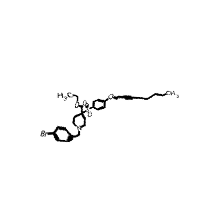 CCCCCC#CCOc1ccc(S(=O)(=O)C2(C(=O)OCC)CCN(Cc3ccc(Br)cc3)CC2)cc1